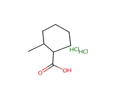 CC1CCCCC1C(=O)O.Cl.Cl